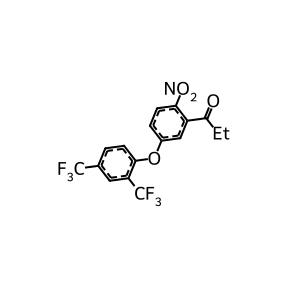 CCC(=O)c1cc(Oc2ccc(C(F)(F)F)cc2C(F)(F)F)ccc1[N+](=O)[O-]